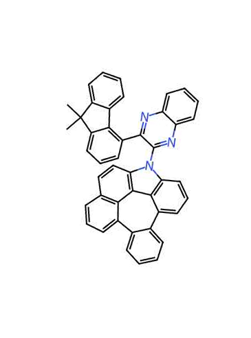 CC1(C)c2ccccc2-c2c(-c3nc4ccccc4nc3-n3c4cccc5c4c4c6c(cccc6ccc43)-c3ccccc3-5)cccc21